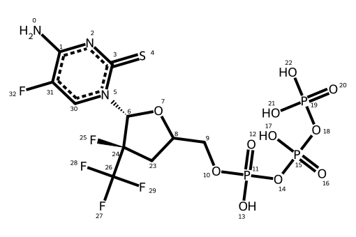 Nc1nc(=S)n([C@@H]2OC(COP(=O)(O)OP(=O)(O)OP(=O)(O)O)C[C@]2(F)C(F)(F)F)cc1F